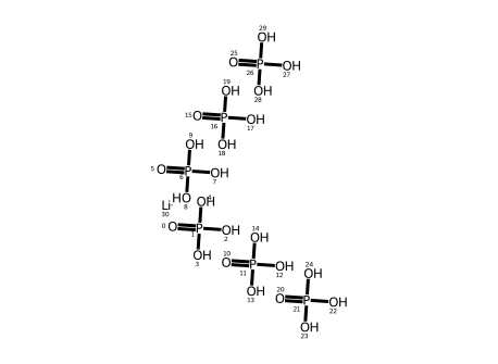 O=P(O)(O)O.O=P(O)(O)O.O=P(O)(O)O.O=P(O)(O)O.O=P(O)(O)O.O=P(O)(O)O.[Li]